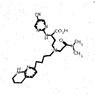 CN(C)C(=O)CN(CCCCc1ccc2c(n1)NCCC2)CCC(Nc1ncc(C#N)cn1)C(=O)O